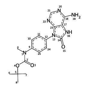 CN(C(=O)OC(C)(C)C)c1ccc(-n2c(=O)[nH]c3c(N)ncnc32)cc1